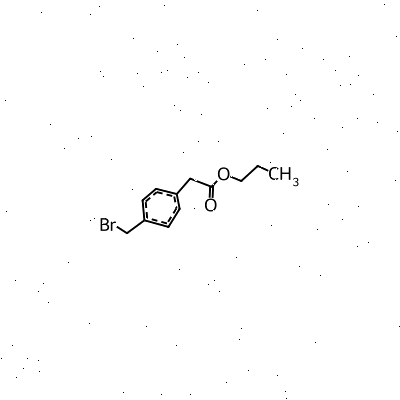 CCCOC(=O)Cc1ccc(CBr)cc1